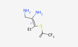 C=C(S/C(CC)=C(\N)CN)C(F)(F)F